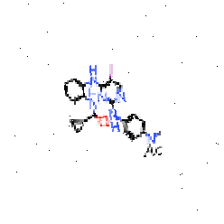 CC(=O)N(C)c1ccc(Nc2ncc(I)c(Nc3ccccc3NC(=O)C3CC3)n2)cc1